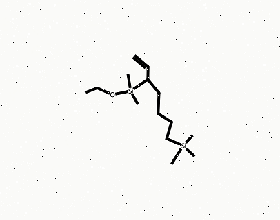 C=CC(CCCC[Si](C)(C)C)[Si](C)(C)OCC